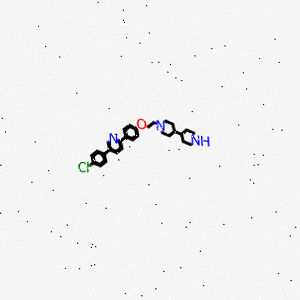 Clc1ccc(-c2ccc(-c3ccc(OCCN4CCC(C5CCNCC5)CC4)cc3)nc2)cc1